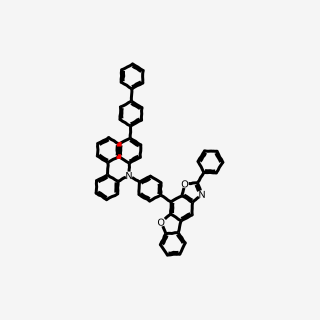 c1ccc(-c2ccc(-c3ccc(N(c4ccc(-c5c6oc(-c7ccccc7)nc6cc6c5oc5ccccc56)cc4)c4ccccc4-c4ccccc4)cc3)cc2)cc1